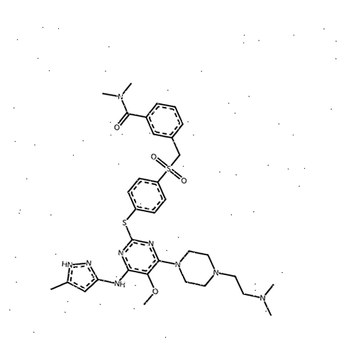 COc1c(Nc2cc(C)[nH]n2)nc(Sc2ccc(S(=O)(=O)Cc3cccc(C(=O)N(C)C)c3)cc2)nc1N1CCN(CCN(C)C)CC1